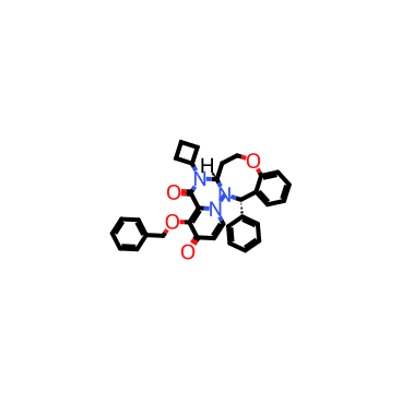 O=C1c2c(OCc3ccccc3)c(=O)ccn2N2[C@@H](c3ccccc3)c3ccccc3OCC[C@@H]2N1C1CCC1